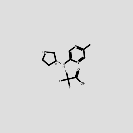 Cc1cnc(N[C@@H]2CCNC2)cn1.O=C(O)C(F)(F)F